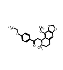 CCOc1ccc(C(=O)CC2c3c(cc4c(c3OC)OCO4)CCN2C)cc1